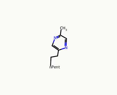 CCCCCCCc1cnc(C)cn1